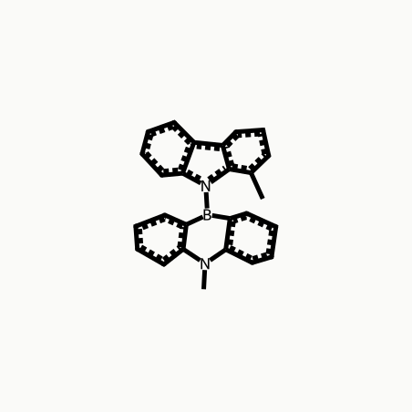 Cc1cccc2c3ccccc3n(B3c4ccccc4N(C)c4ccccc43)c12